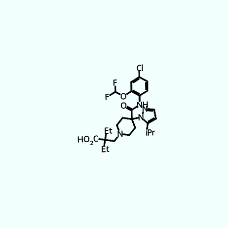 CCC(CC)(CN1CCC(C(=O)Nc2ccc(Cl)cc2OC(F)F)(n2nccc2C(C)C)CC1)C(=O)O